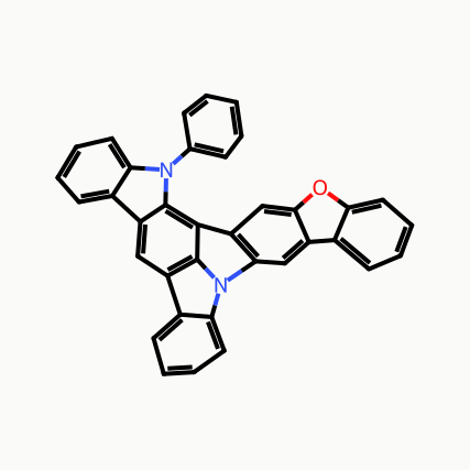 c1ccc(-n2c3ccccc3c3cc4c5ccccc5n5c6cc7c(cc6c(c32)c45)oc2ccccc27)cc1